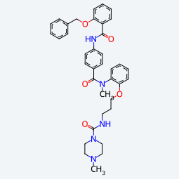 CN1CCN(C(=O)NCCCOc2ccccc2N(C)C(=O)c2ccc(NC(=O)c3ccccc3OCc3ccccc3)cc2)CC1